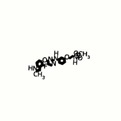 Cc1cc2c(F)c(Oc3ccnc(Nc4cccc(OCCNS(C)(=O)=O)c4)n3)ccc2[nH]1